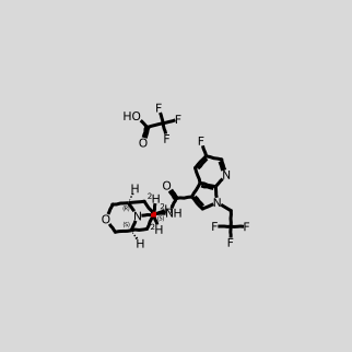 O=C(O)C(F)(F)F.[2H]C([2H])([2H])N1[C@@H]2COC[C@H]1C[C@@H](NC(=O)c1cn(CC(F)(F)F)c3ncc(F)cc13)C2